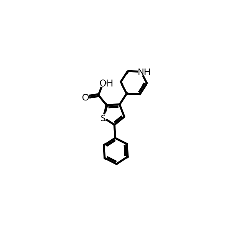 O=C(O)c1sc(-c2ccccc2)cc1C1C=CNCC1